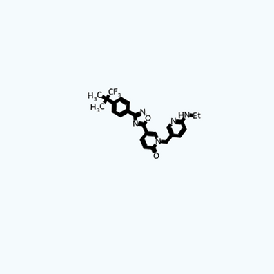 CCNc1ccc(Cn2cc(-c3nc(-c4ccc(C(C)(C)C(F)(F)F)cc4)no3)ccc2=O)cn1